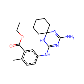 CCOC(=O)c1cc(NC2=NC(N)=NC3(CCCCC3)N2)ccc1C